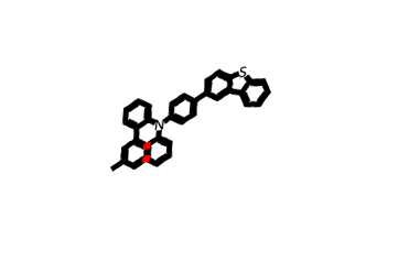 Cc1cccc(-c2ccccc2N(c2ccccc2)c2ccc(-c3ccc4sc5ccccc5c4c3)cc2)c1